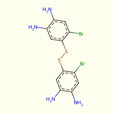 Nc1cc(Br)c(SSc2cc(N)c(N)cc2Br)cc1N